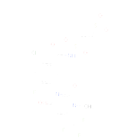 Cn1c(C(F)(F)F)cc(=O)n(-c2cc(C(=O)NS(=O)(=O)C3CCS(=O)(=O)C3)c(Cl)cc2F)c1=O